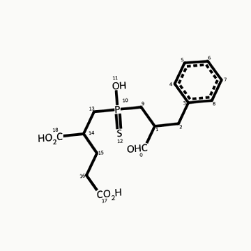 O=CC(Cc1ccccc1)CP(O)(=S)CC(CCC(=O)O)C(=O)O